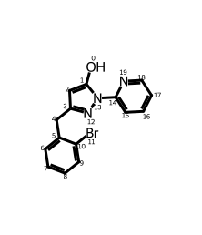 Oc1cc(Cc2ccccc2Br)nn1-c1ccccn1